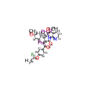 COc1cc(P)c([C@@H]2CN(c3ncccc3P(C)(C)=O)C(=O)[C@H]2CC(=O)c2ccc(OC(C)F)cc2)c(P)c1